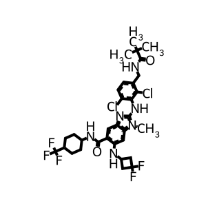 Cn1c(Nc2c(Cl)ccc(CNC(=O)C(C)(C)C)c2Cl)nc2cc(C(=O)NC3CCC(C(F)(F)F)CC3)c(NC3CC(F)(F)C3)cc21